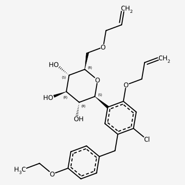 C=CCOC[C@H]1O[C@@H](c2cc(Cc3ccc(OCC)cc3)c(Cl)cc2OCC=C)[C@H](O)[C@@H](O)[C@@H]1O